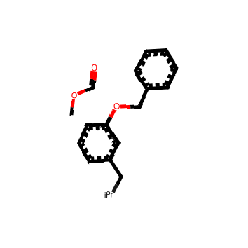 CC(C)Cc1cccc(OCc2ccccc2)c1.COC=O